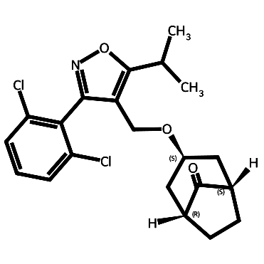 CC(C)c1onc(-c2c(Cl)cccc2Cl)c1CO[C@@H]1C[C@H]2CC[C@@H](C1)C2=O